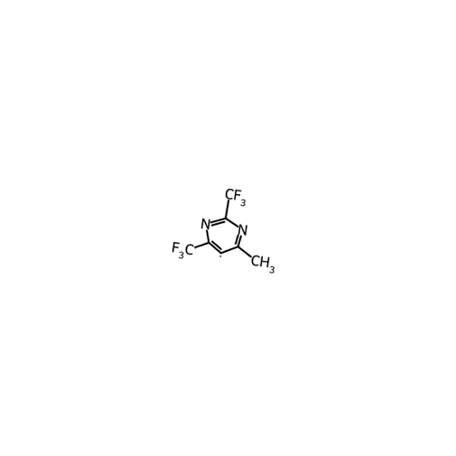 Cc1[c]c(C(F)(F)F)nc(C(F)(F)F)n1